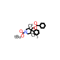 CC(C)(C)OC(=O)N1CC(C(F)(F)F)C(COC(=O)c2ccccc2)(c2ccccc2)C(C(F)(F)F)C1